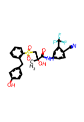 CC(O)(CS(=O)(=O)c1ccccc1Cc1ccc(O)cc1)C(=O)Nc1ccc(C#N)c(C(F)(F)F)c1